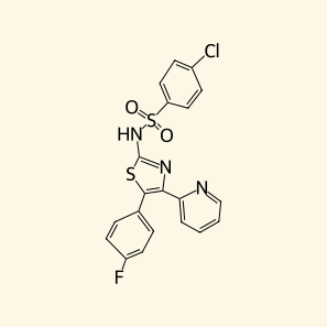 O=S(=O)(Nc1nc(-c2ccccn2)c(-c2ccc(F)cc2)s1)c1ccc(Cl)cc1